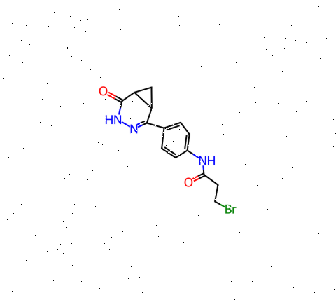 O=C(CCBr)Nc1ccc(C2=NNC(=O)C3CC23)cc1